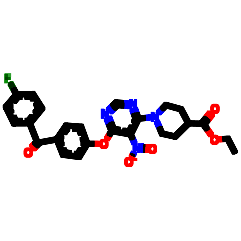 CCOC(=O)C1CCN(c2ncnc(Oc3ccc(C(=O)c4ccc(F)cc4)cc3)c2[N+](=O)[O-])CC1